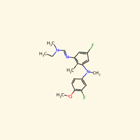 CCN(C)C=Nc1cc(F)cc(N(C)c2ccc(OC)c(F)c2)c1C